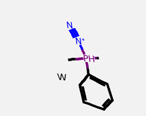 C[PH](C)([N+]#N)c1ccccc1.[W]